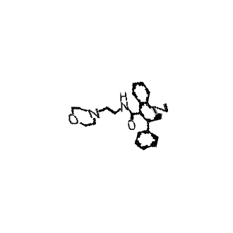 O=C(NCCN1CCOCC1)c1c(-c2ccccc2)cnc2ccccc12